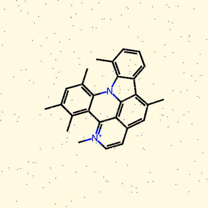 Cc1cc(C)c2c(c1C)c1c3c(cc[n+]1C)cc(C)c1c4cccc(C)c4n2c13